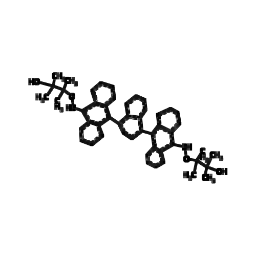 CC(C)(O)C(C)(C)OBc1c2ccccc2c(-c2ccc(-c3c4ccccc4c(BOC(C)(C)C(C)(C)O)c4ccccc34)c3ccccc23)c2ccccc12